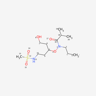 [CH2]CCN(OC(CCO)CCNS(C)(=O)=O)C(=O)C(C)C